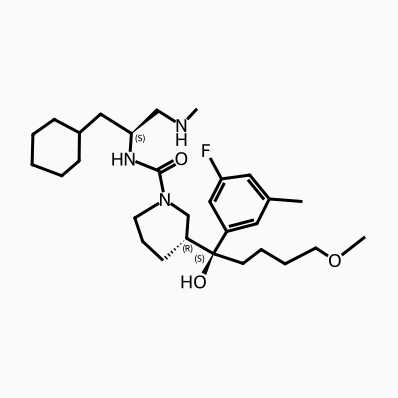 CNC[C@H](CC1CCCCC1)NC(=O)N1CCC[C@@H]([C@@](O)(CCCCOC)c2cc(C)cc(F)c2)C1